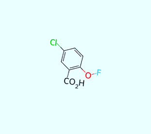 O=C(O)c1cc(Cl)ccc1OF